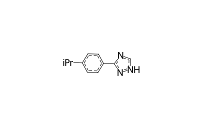 CC(C)c1ccc(-c2nc[nH]n2)cc1